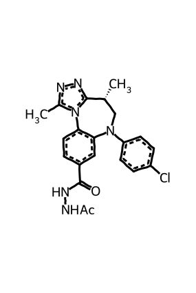 CC(=O)NNC(=O)c1ccc2c(c1)N(c1ccc(Cl)cc1)C[C@@H](C)c1nnc(C)n1-2